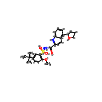 COc1ccc(C(C)(C)C)cc1S(=O)(=O)NC(=O)c1ccc2c(C3CCCO3)cccc2n1